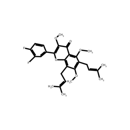 COc1c(CC=C(C)C)c(OC)c2c(=O)c(OC)c(-c3ccc(F)c(F)c3)oc2c1CC=C(C)C